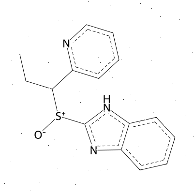 CCC(c1ccccn1)[S+]([O-])c1nc2ccccc2[nH]1